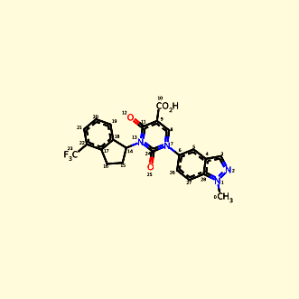 Cn1ncc2cc(-n3cc(C(=O)O)c(=O)n(C4CCc5c4cccc5C(F)(F)F)c3=O)ccc21